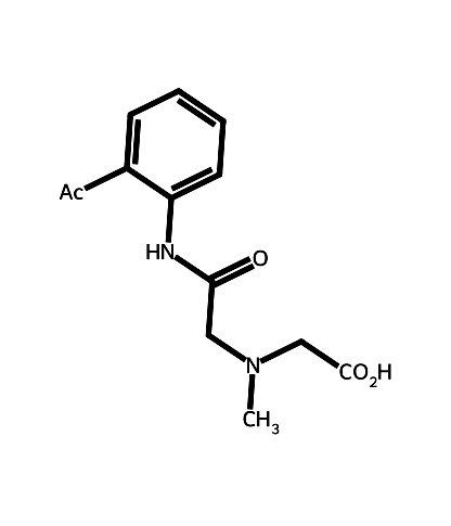 CC(=O)c1ccccc1NC(=O)CN(C)CC(=O)O